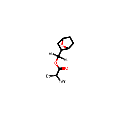 CCCC(CC)C(=O)OC(CC)(CC)C1CC2CCC1O2